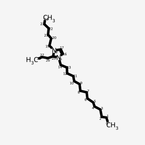 CCCCCCCCCCCCCCCN1C=CN(CCCCCC)C1CCC